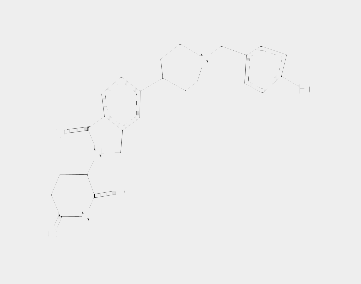 CCc1ccc(CN2CCC(c3ccc4c(c3)CN(C3CCC(=O)NC3=O)C4=O)CC2)cc1